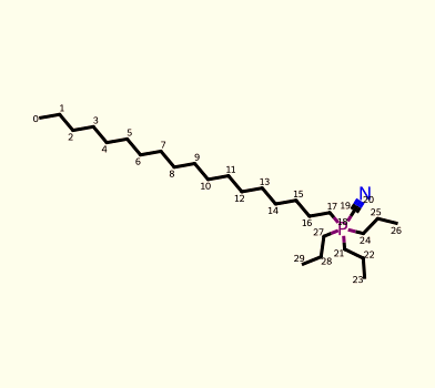 CCCCCCCCCCCCCCCCCCP(C#N)(CCC)(CCC)CCC